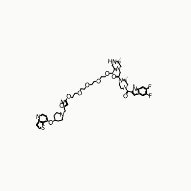 C[C@@H]1CN(CC(=O)N2CCN(C(=O)c3cc4cc(F)c(F)cc4n3C)C[C@H]2C)[C@@H](COCCOCCOCCOCCOc2cc(CN3CCC(Oc4ccnc5ccsc45)CC3)on2)CN1